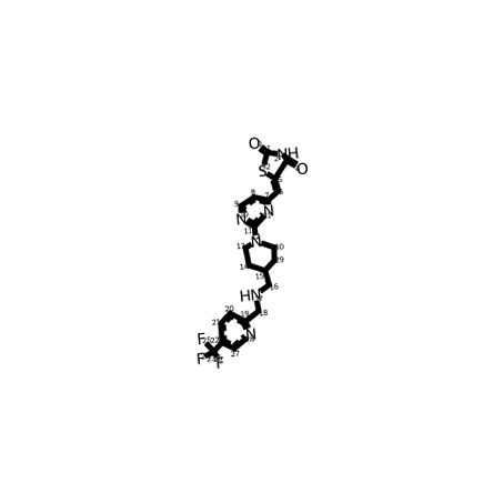 O=C1NC(=O)/C(=C/c2ccnc(N3CCC(CNCc4ccc(C(F)(F)F)cn4)CC3)n2)S1